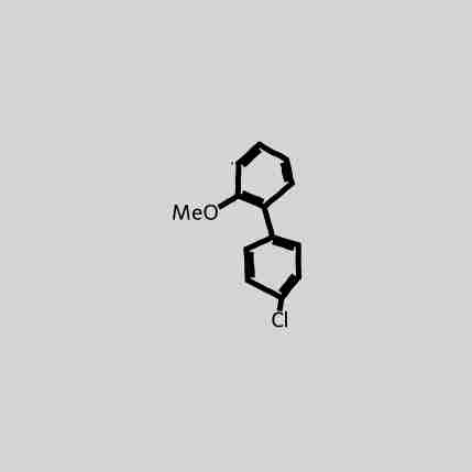 COc1[c]cccc1-c1ccc(Cl)cc1